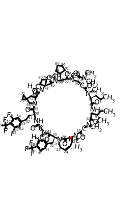 CCC[C@H]1C(=O)N[C@@H]([C@@H](C)CC)C(=O)N(C)CC(=O)N(C)[C@H]2C/C=C\CCN(C2=O)[C@@H](Cc2ccc(C(F)(F)F)cc2)C(=O)N(C)CC(=O)N[C@@H](CCc2cc(F)c(C(F)(F)F)c(F)c2)C(=O)N2CC3(CC3)C[C@H]2C(=O)N(C)C2(CCC2)C(=O)N(C)[C@@H](C2CCCC2)C(=O)N(C)[C@H](C(=O)N(C)C)CC(=O)N1C